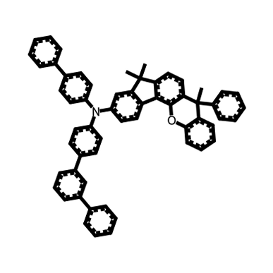 CC1(C)c2cc(N(c3ccc(-c4ccccc4)cc3)c3ccc(-c4cccc(-c5ccccc5)c4)cc3)ccc2-c2c1ccc1c2Oc2ccccc2C1(C)c1ccccc1